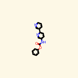 O=C(Nc1ccc(-c2cccnc2)nc1)Oc1ccccc1